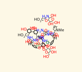 CN[C@H](CC(C)C)C(=O)N[C@H]1C(=O)N[C@@H](CC(N)=O)C(=O)N[C@H]2C(=O)N[C@H]3C(=O)N[C@H](C(=O)N[C@@H](C(=O)O)c4cc(O)cc(O)c4-c4cc3ccc4O)[C@H](O)c3ccc(c(Cl)c3)Oc3cc2cc(c3O[C@@H]2O[C@H](CO)[C@@H](O)[C@H](O)[C@H]2O[C@H]2C[C@](C)(N)C(O)[C@H](C)O2)Oc2ccc(cc2Cl)[C@H]1O.C[C@@H](O[C@@H]1[C@@H](N)[C@@H](O)O[C@H](CO)[C@H]1O)C(=O)O